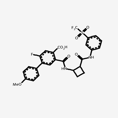 COc1ccc(-c2cc(C(=O)NC3CCC3C(=O)Nc3cccc(S(=O)(=O)C(F)(F)F)c3)c(C(=O)O)cc2F)cc1